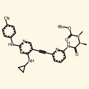 C[C@@H](C(=O)Nc1cccc(C#Cc2cnc(Nc3ccc(C#N)cc3)nc2NC2CC2)n1)N(C)C(=O)OC(C)(C)C